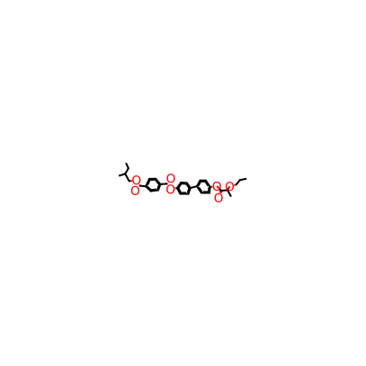 CCCOC(C)C(=O)Oc1ccc(-c2ccc(OC(=O)c3ccc(C(=O)OCC(C)CC)cc3)cc2)cc1